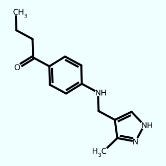 CCCC(=O)c1ccc(NCc2c[nH]nc2C)cc1